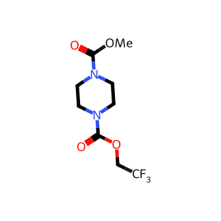 COC(=O)N1CCN(C(=O)OCC(F)(F)F)CC1